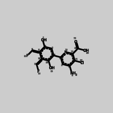 Nc1cc(-c2cc(O)c(=CF)c(=CF)c2O)nc(C(=O)O)c1Cl